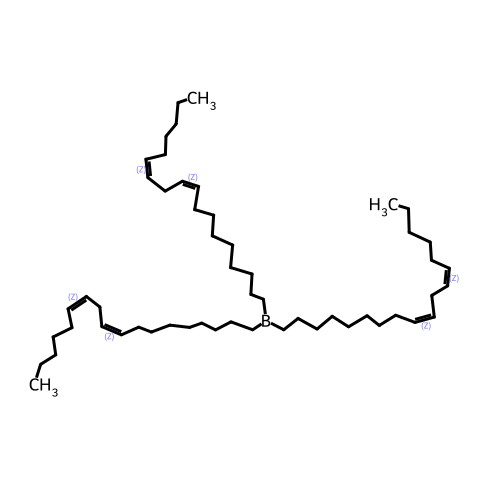 CCCCC/C=C\C/C=C\CCCCCCCCB(CCCCCCCC/C=C\C/C=C\CCCCC)CCCCCCCC/C=C\C/C=C\CCCCC